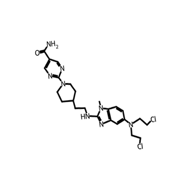 Cn1c(NCCC2CCN(c3ncc(C(N)=O)cn3)CC2)nc2cc(N(CCCl)CCCl)ccc21